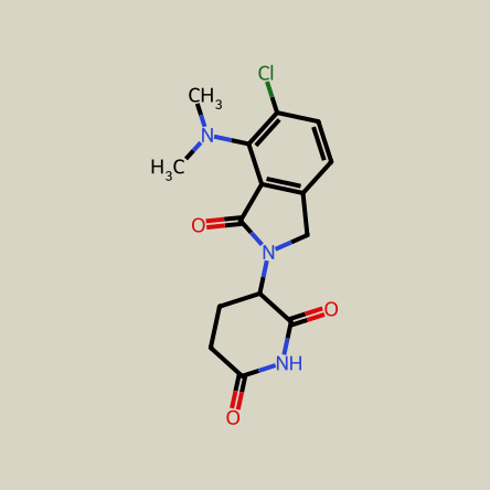 CN(C)c1c(Cl)ccc2c1C(=O)N(C1CCC(=O)NC1=O)C2